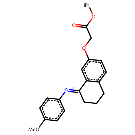 COc1ccc(/N=C2\CCCc3ccc(OCC(=O)OC(C)C)cc32)cc1